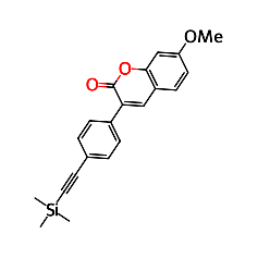 COc1ccc2cc(-c3ccc(C#C[Si](C)(C)C)cc3)c(=O)oc2c1